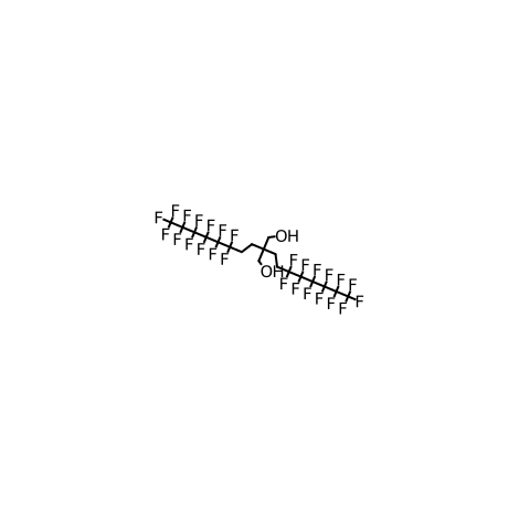 OCC(CO)(CCC(F)(F)C(F)(F)C(F)(F)C(F)(F)C(F)(F)C(F)(F)F)CCC(F)(F)C(F)(F)C(F)(F)C(F)(F)C(F)(F)C(F)(F)F